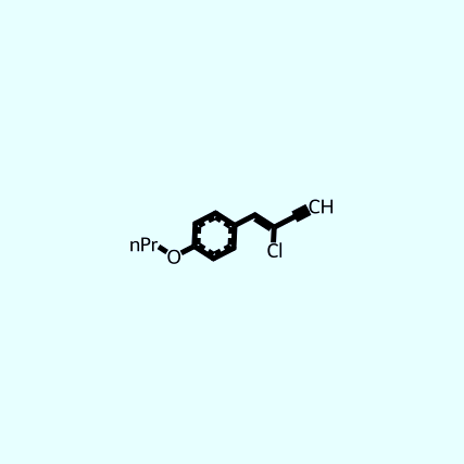 C#CC(Cl)=Cc1ccc(OCCC)cc1